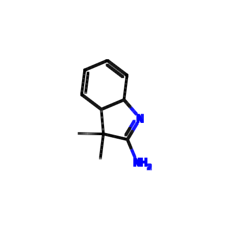 CC1(C)C(N)=NC2C=CC=CC21